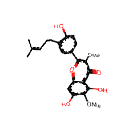 COc1c(O)cc2oc(-c3ccc(O)c(CC=C(C)C)c3)c(OC)c(=O)c2c1O